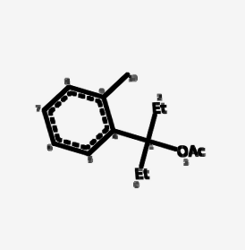 CCC(CC)(OC(C)=O)c1ccccc1C